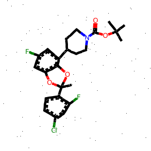 CC(C)(C)OC(=O)N1CCC(c2cc(F)cc3c2OC(C)(c2ccc(Cl)cc2F)O3)CC1